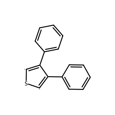 [c]1s[c]c(-c2ccccc2)c1-c1ccccc1